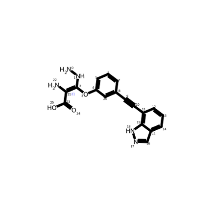 NN/C(Oc1cccc(C#Cc2cccc3cn[nH]c23)c1)=C(\N)C(=O)O